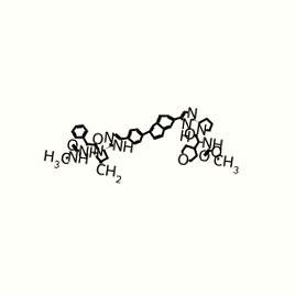 C=C1C[C@@H](c2ncc(-c3ccc(-c4ccc5cc(-c6cnc([C@@H]7CCCN7C(=O)[C@@H](NC(=O)OC)C7CCOCC7)[nH]6)ccc5c4)cc3)[nH]2)N(C(=O)[C@H](NC(=O)NC)c2ccccc2)C1